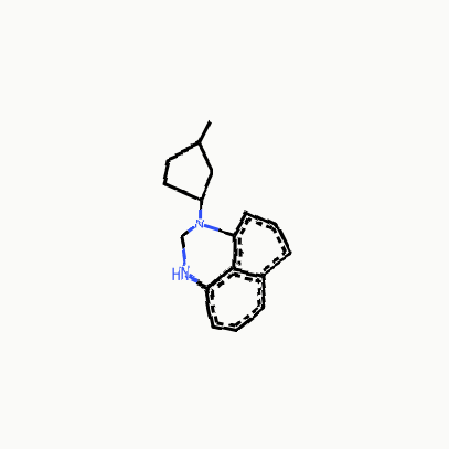 CC1CCC(N2CNc3cccc4cccc2c34)C1